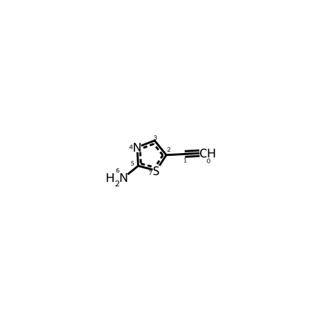 C#Cc1cnc(N)s1